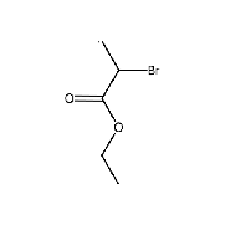 [CH2]C(Br)C(=O)OCC